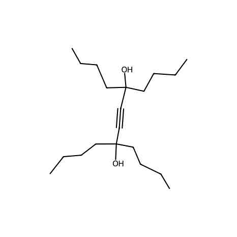 CCCCC(O)(C#CC(O)(CCCC)CCCC)CCCC